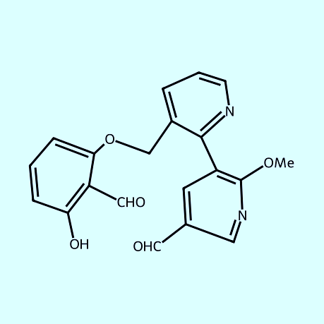 COc1ncc(C=O)cc1-c1ncccc1COc1cccc(O)c1C=O